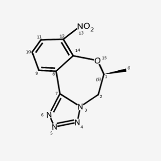 C[C@H]1Cn2nnnc2-c2cccc([N+](=O)[O-])c2O1